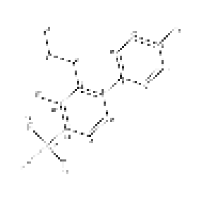 CCCc1c(-c2ccc(C)cc2)ccc(C(F)(F)F)c1C